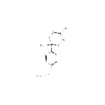 CCCCCCCOc1ccc(C2(C#N)CCC(CCC)CC2)cc1